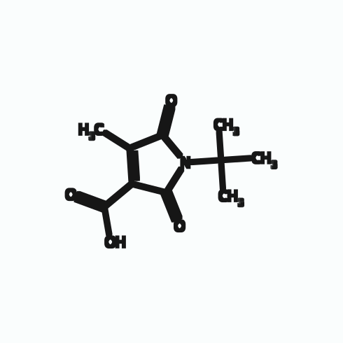 CC1=C(C(=O)O)C(=O)N(C(C)(C)C)C1=O